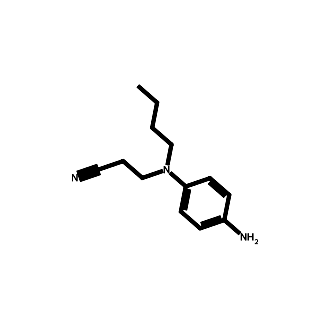 CCCCN(CCC#N)c1ccc(N)cc1